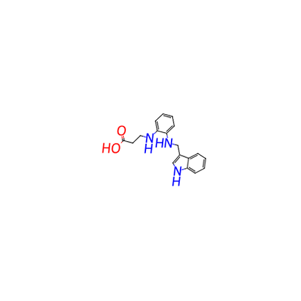 O=C(O)CCNc1ccccc1NCc1c[nH]c2ccccc12